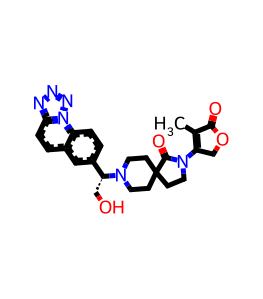 CC1=C(N2CCC3(CCN([C@H](CO)c4ccc5c(ccc6nnnn65)c4)CC3)C2=O)COC1=O